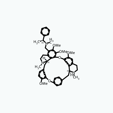 COc1ccc2cc1Oc1ccc(cc1)C[C@H]1c3cc(c(OC)cc3CCN1C)Oc1c(OC)c(OC)c(CN(C)[C@@H](C)c3ccccc3)c3c1[C@H](C2)N(C)CC3